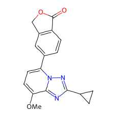 COc1ccc(-c2ccc3c(c2)COC3=O)n2nc(C3CC3)nc12